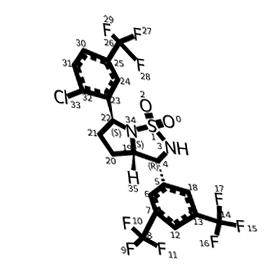 O=S1(=O)N[C@H](c2cc(C(F)(F)F)cc(C(F)(F)F)c2)[C@@H]2CC[C@@H](c3cc(C(F)(F)F)ccc3Cl)N21